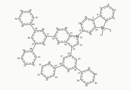 C[Si]1(C)c2ccccc2-c2ccc(-n3cc(-c4cc(-c5ccccc5)cc(-c5ccccc5)c4)c4cc(-c5cc(-c6ccccc6)cc(-c6ccccc6)c5)ccc43)cc21